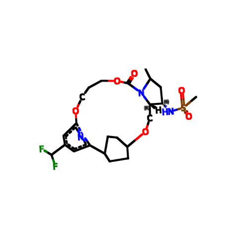 CC1C[C@H](NS(C)(=O)=O)[C@@H]2COC3CCC(CC3)c3cc(C(F)F)cc(n3)OCCCOC(=O)N12